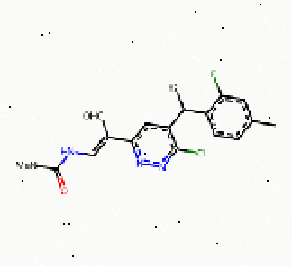 CCC(c1ccc(C)cc1F)c1cc(/C(C=O)=C/NC(=O)NC)nnc1Cl